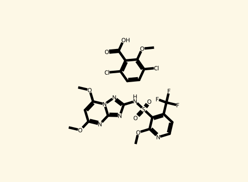 COc1c(Cl)ccc(Cl)c1C(=O)O.COc1cc(OC)n2nc(NS(=O)(=O)c3c(C(F)(F)F)ccnc3OC)nc2n1